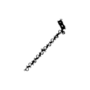 COCCOCCOCCOCCOCCOCCOCCOCCOCCOC(=O)C1CC2CC1C1C3C=CC(C3)C21